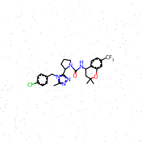 Cc1nnc(C2CCCN2C(=O)NC2CC(C)(C)Oc3cc(C(F)(F)F)ccc32)n1Cc1ccc(Cl)cc1